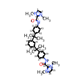 Cn1cc[n+](C)c1/C([O-])=N/c1ccc(C(C)(C)c2cccc(C(C)(C)c3ccc(/N=C(\[O-])c4n(C)cc[n+]4C)cc3)c2)cc1